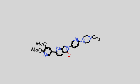 COc1cc(-c2ccc3c(n2)CN(c2ccc(N4CCN(C)CC4)nc2)C3=O)cnc1OC